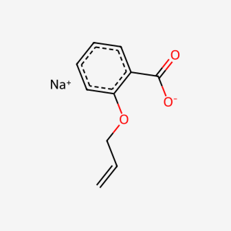 C=CCOc1ccccc1C(=O)[O-].[Na+]